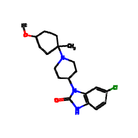 CCOC1CCC(C)(N2CCC(n3c(=O)[nH]c4ccc(Cl)cc43)CC2)CC1